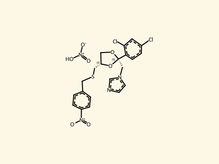 O=[N+]([O-])O.O=[N+]([O-])c1ccc(CSC[C@@H]2CO[C@@](Cn3ccnc3)(c3ccc(Cl)cc3Cl)O2)cc1